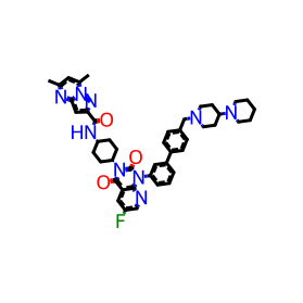 Cc1cc(C)n2nc(C(=O)N[C@H]3CC[C@@H](n4c(=O)c5cc(F)cnc5n(-c5cccc(-c6ccc(CN7CCC(N8CCCCC8)CC7)cc6)c5)c4=O)CC3)cc2n1